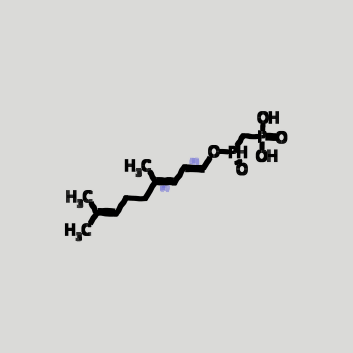 CC(C)=CCC/C(C)=C/C=C/O[PH](=O)CP(=O)(O)O